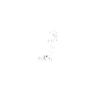 C[C@H](N)C(=O)N1CCC[C@H]1C1=NCC(c2ccc(-c3ccc(-c4cnc(C5CCCN5C(=O)[C@H](C)NC(=O)OC(C)(C)C)[nH]4)cc3)cc2)N1